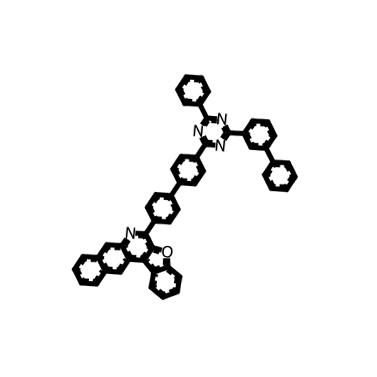 c1ccc(-c2cccc(-c3nc(-c4ccccc4)nc(-c4ccc(-c5ccc(-c6nc7cc8ccccc8cc7c7c6oc6ccccc67)cc5)cc4)n3)c2)cc1